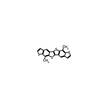 Cc1c2sccc2cc2c1sc1c3cc4ccsc4c(C)c3sc21